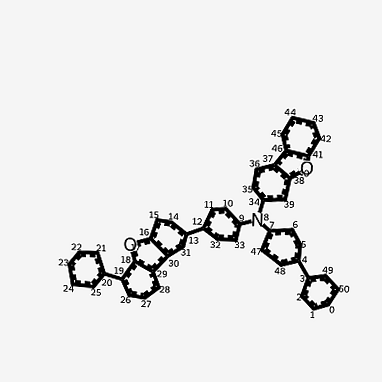 c1ccc(-c2ccc(N(c3ccc(-c4ccc5oc6c(-c7ccccc7)cccc6c5c4)cc3)c3ccc4c(c3)oc3ccccc34)cc2)cc1